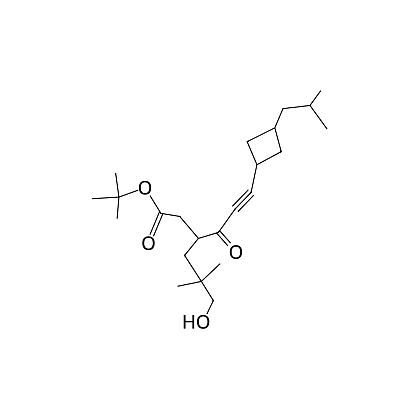 CC(C)CC1CC(C#CC(=O)C(CC(=O)OC(C)(C)C)CC(C)(C)CO)C1